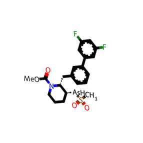 COC(=O)N1CCC[C@@H]([AsH]S(C)(=O)=O)[C@H]1Cc1cccc(-c2cc(F)cc(F)c2)c1